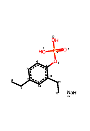 CCc1ccc(OP(=O)(O)O)c(CC)c1.[NaH]